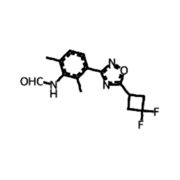 Cc1ccc(-c2noc(C3CC(F)(F)C3)n2)c(C)c1NC=O